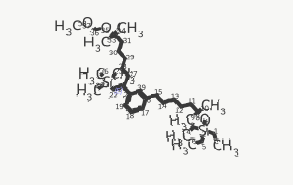 CC[Si](CC)(CC)OC(C)(C)CCCCCc1cccc(/C(=C/[Si](C)(C)C)CCCCCC(C)(C)OCOC)c1